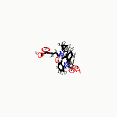 COC(=O)CCC(=O)N(C1CC1)C1c2ccccc2N(C(=O)O)[C@@H]2CC[C@H]12